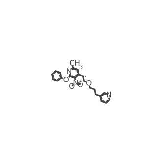 Cc1cc([CH]COCCCc2cccnc2)c([N+](=O)[O-])c(Oc2ccccc2)n1